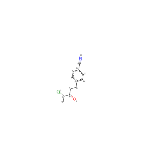 CC(Cl)C(=O)CCc1ccc(C#N)cc1